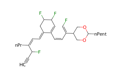 C#CC(F)/C(=C\C=C1/CC(F)C(F)C=C1/C=C\C(=C\F)C1COC(CCCCC)OC1)CCC